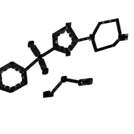 CC(C)(C)OC=O.O=S(=O)(c1ccccc1)c1cnc(N2CCNCC2)s1